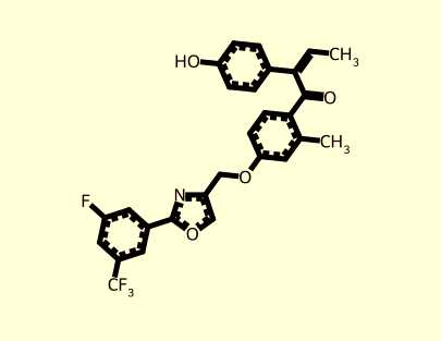 C/C=C(\C(=O)c1ccc(OCc2coc(-c3cc(F)cc(C(F)(F)F)c3)n2)cc1C)c1ccc(O)cc1